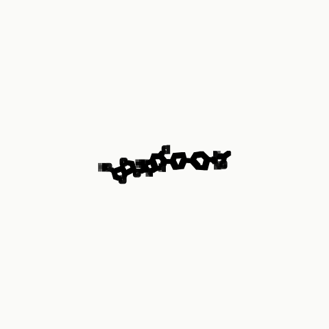 Cc1nc(-c2ccc(-c3ccc(-c4nc5nc(O[C@@H]6COC7C6OC[C@H]7O)[nH]c5cc4Cl)cc3)cc2)no1